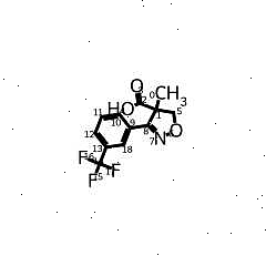 CC1(C(=O)O)CON=C1c1cccc(C(F)(F)F)c1